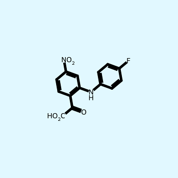 O=C(O)C(=O)c1ccc([N+](=O)[O-])cc1Nc1ccc(F)cc1